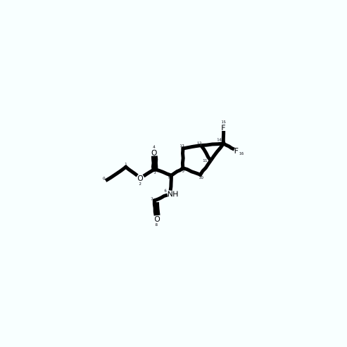 CCOC(=O)C(NC=O)C1CC2C(C1)C2(F)F